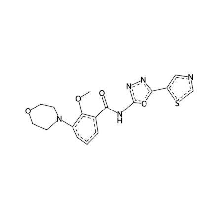 COc1c(C(=O)Nc2nnc(-c3cncs3)o2)cccc1N1CCOCC1